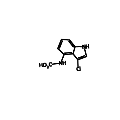 O=C(O)Nc1cccc2[nH]cc(Cl)c12